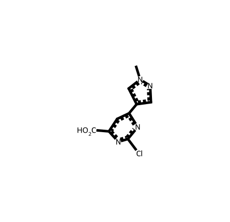 Cn1cc(-c2cc(C(=O)O)nc(Cl)n2)cn1